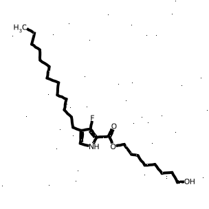 CCCCCCCCCCCCCc1c[nH]c(C(=O)OCCCCCCCCO)c1F